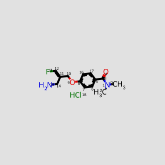 CN(C)C(=O)c1ccc(OC/C(=C/F)CN)cc1.Cl